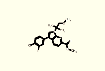 COCC(C)(C)n1cc(-c2ccc(Cl)c(F)c2)c2ccc(C(=O)OC)nc21